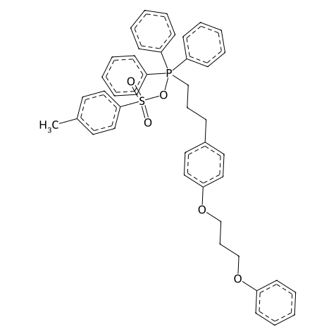 Cc1ccc(S(=O)(=O)OP(CCCc2ccc(OCCCOc3ccccc3)cc2)(c2ccccc2)(c2ccccc2)c2ccccc2)cc1